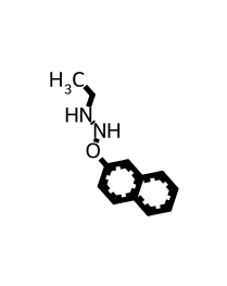 CCNNOc1ccc2ccccc2c1